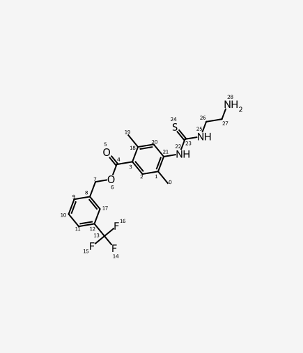 Cc1cc(C(=O)OCc2cccc(C(F)(F)F)c2)c(C)cc1NC(=S)NCCN